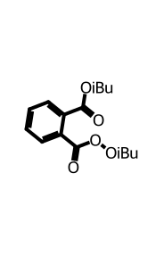 CC(C)COOC(=O)c1ccccc1C(=O)OCC(C)C